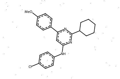 COc1ccc(-c2cc(Nc3ccc(Cl)cc3)nc(C3CCCCC3)n2)cc1